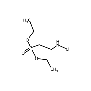 CCOP(=O)(CCNCl)OCC